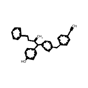 C#Cc1ccc(Cc2ccc(C(C(=C)CCc3ccccc3)c3ccc(O)cc3)cc2)cc1